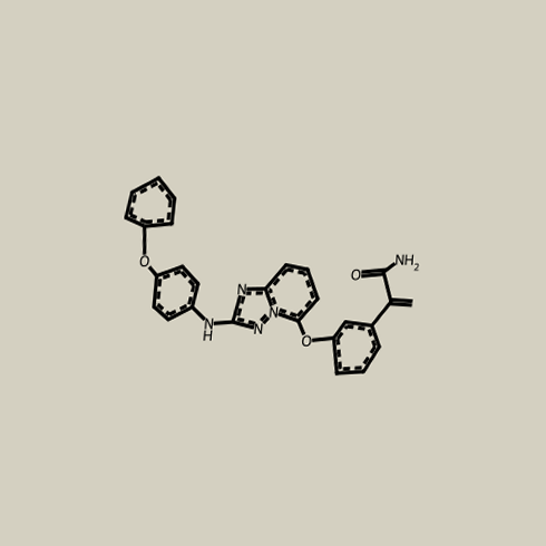 C=C(C(N)=O)c1cccc(Oc2cccc3nc(Nc4ccc(Oc5ccccc5)cc4)nn23)c1